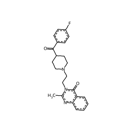 Cc1nc2ccccc2c(=O)n1CCN1CCC(C(=O)c2ccc(F)cc2)CC1